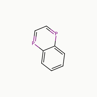 c1ccc2pccpc2c1